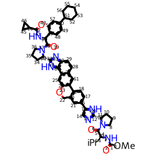 COC(=O)N[C@H](C(=O)N1CCC[C@H]1c1ncc(-c2ccc3c(c2)COc2cc4c(ccc5nc([C@@H]6CCCN6C(=O)[C@H](NC(=O)C6CC6)c6ccc(C7CCCCC7)cc6)[nH]c54)cc2-3)[nH]1)C(C)C